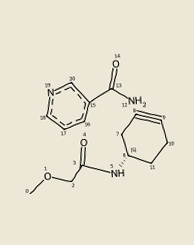 COCC(=O)N[C@@H]1CC#CCC1.NC(=O)c1cccnc1